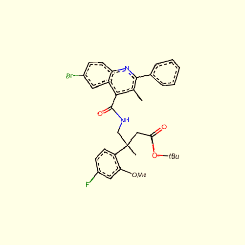 COc1cc(F)ccc1C(C)(CNC(=O)c1c(C)c(-c2ccccc2)nc2ccc(Br)cc12)CC(=O)OC(C)(C)C